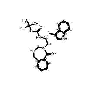 CC(C)(C)OC(=O)N[C@H](Cc1c[nH]c2ccccc12)CN1COCc2ccccc2C1=O